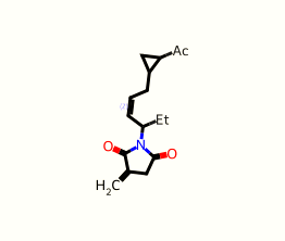 C=C1CC(=O)N(C(/C=C\CC2CC2C(C)=O)CC)C1=O